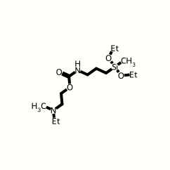 CCO[Si](C)(CCCNC(=O)OCCN(C)CC)OCC